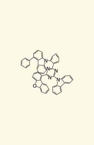 c1ccc(-c2cccc3c2c2ccccc2n3-c2ccccc2-c2nc(-c3cccc4oc5ccccc5c34)nc(-n3c4ccccc4c4ccccc43)n2)cc1